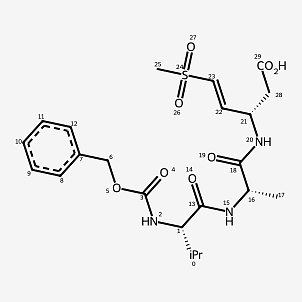 CC(C)[C@H](NC(=O)OCc1ccccc1)C(=O)N[C@@H](C)C(=O)N[C@H](/C=C/S(C)(=O)=O)CC(=O)O